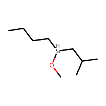 CCCC[SiH](CC(C)C)OC